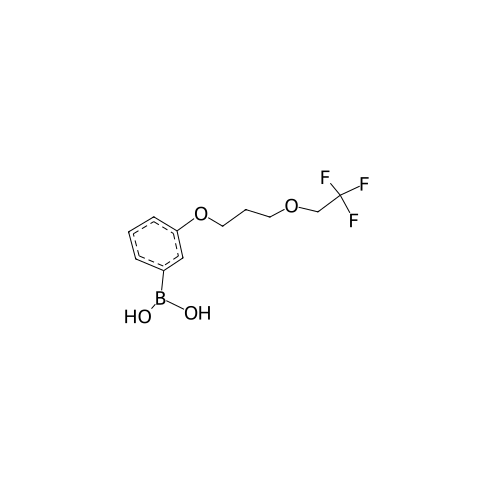 OB(O)c1cccc(OCCCOCC(F)(F)F)c1